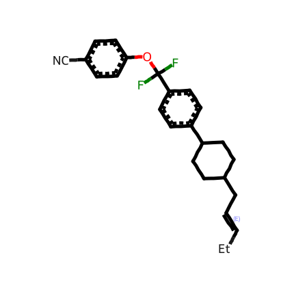 CC/C=C/CC1CCC(c2ccc(C(F)(F)Oc3ccc(C#N)cc3)cc2)CC1